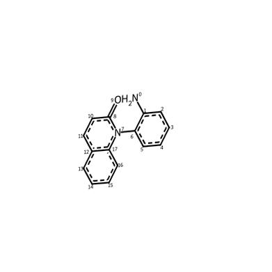 Nc1ccccc1-n1c(=O)ccc2ccccc21